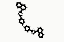 c1ccc2c(-c3nnc(-c4ccc(Oc5ccc(-c6nnc(-c7cccc8ccccc78)o6)cc5)cc4)o3)cccc2c1